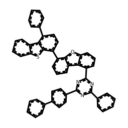 c1ccc(-c2ccc(-c3nc(-c4ccccc4)nc(-c4cccc5oc6c(-c7ccc(-c8ccccc8)c8c7sc7ccccc78)cccc6c45)n3)cc2)cc1